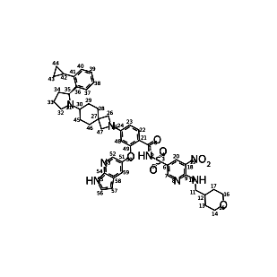 O=C(NS(=O)(=O)c1cnc(NCC2CCOCC2)c([N+](=O)[O-])c1)c1ccc(N2CC3(CCC(N4CCC[C@H]4c4ccccc4C4CC4)CC3)C2)cc1Oc1cnc2[nH]ccc2c1